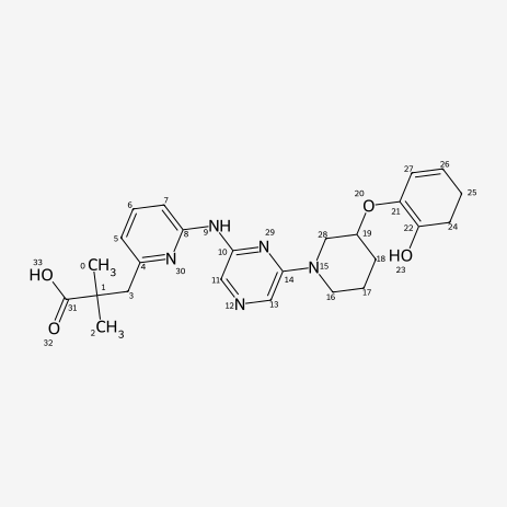 CC(C)(Cc1cccc(Nc2cncc(N3CCCC(OC4=C(O)CCC=C4)C3)n2)n1)C(=O)O